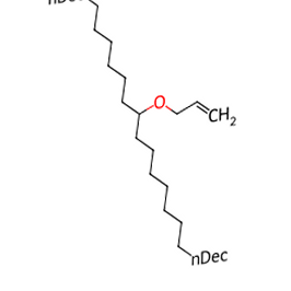 C=CCOC(CCCCCCCCCCCCCCCC)CCCCCCCCCCCCCCCCC